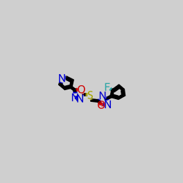 Fc1ccccc1-c1noc(CSc2nnc(-c3ccncc3)o2)n1